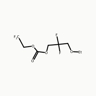 CCOCC(F)(F)COC(=O)OCC(F)(F)F